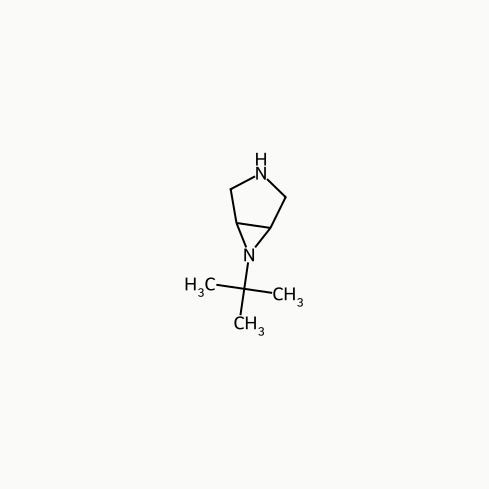 CC(C)(C)N1C2CNCC21